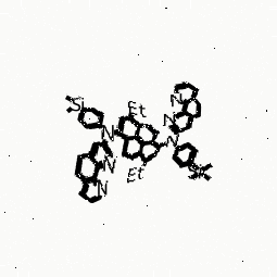 CCc1cc(N(c2ccc([Si](C)(C)C)cc2)c2cnc3c(ccc4cccnc43)c2)c2ccc3c(CC)cc(N(c4ccc([Si](C)(C)C)cc4)c4cnc5c(ccc6cccnc65)c4)c4ccc1c2c34